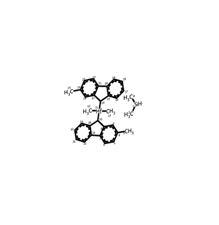 C[SiH]C.Cc1ccc2c(c1)[CH]([Hf]([CH3])([CH3])[CH]1c3ccccc3-c3ccc(C)cc31)c1ccccc1-2